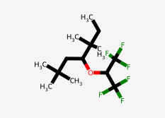 CCC(C)(C)C(CC(C)(C)C)OC(C(F)(F)F)C(F)(F)F